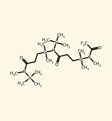 CN(C(=O)CC[Si](C)(C)N(C(=O)CC[Si](C)(C)N(C)C(=O)C(F)(F)F)[Si](C)(C)C)[Si](C)(C)C